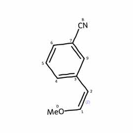 CO/C=C\c1cccc(C#N)c1